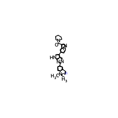 C=Nc1ccc(-c2ncc3c(-c4ccn5ncc(C(=O)N6CCCCC6)c5c4)c[nH]c3n2)cc1/C=C\C